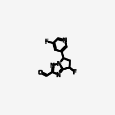 O=Cc1nc2n(n1)C(c1cncc(F)c1)CC2F